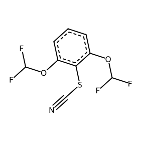 N#CSc1c(OC(F)F)cccc1OC(F)F